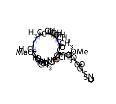 CO[C@H]1C[C@@H]2CC[C@@H](C)[C@@](O)(O2)C(=O)C(=O)N2CCCC[C@H]2C(=O)O[C@H]([C@H](C)C[C@@H]2CC[C@@H](OCCOC(=O)OCCSSc3ccccn3)[C@H](OC)C2)CC(=O)[C@H](C)/C=C(\C)[C@@H](O)[C@@H](O)C(=O)[C@H](C)C[C@H](C)/C=C/C=C/C=C/1C